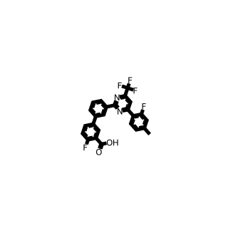 Cc1ccc(-c2cc(C(F)(F)F)nc(-c3cccc(-c4ccc(F)c(C(=O)O)c4)c3)n2)c(F)c1